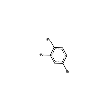 CC(C)c1ccc(Br)cc1S